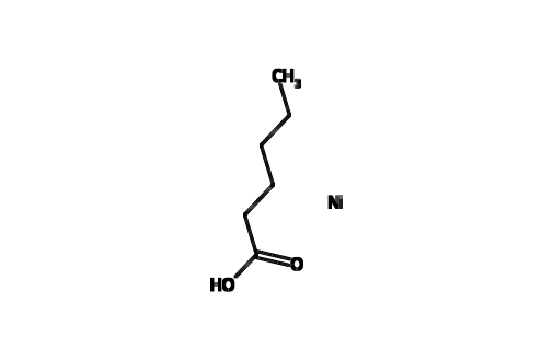 CCCCCC(=O)O.[Ni]